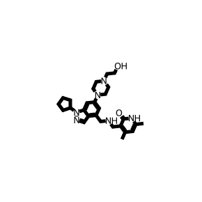 Cc1cc(C)c(CNCc2cc(N3CCN(CCO)CC3)cc3c2cnn3C2CCCC2)c(=O)[nH]1